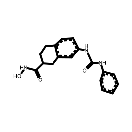 O=C(Nc1ccccc1)Nc1ccc2c(c1)CC(C(=O)NO)CC2